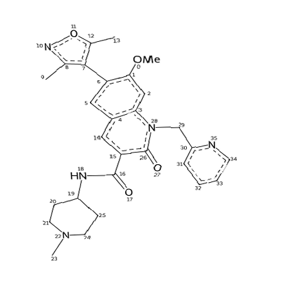 COc1cc2c(cc1-c1c(C)noc1C)cc(C(=O)NC1CCN(C)CC1)c(=O)n2Cc1ccccn1